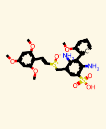 COc1cc(OC)c(C=C[S+]([O-])Cc2cc(S(=O)(=O)O)c(N)c(-c3ccccc3OC)c2N)c(OC)c1